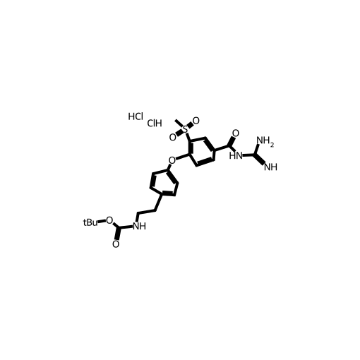 CC(C)(C)OC(=O)NCCc1ccc(Oc2ccc(C(=O)NC(=N)N)cc2S(C)(=O)=O)cc1.Cl.Cl